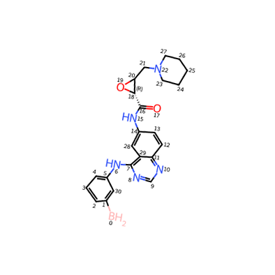 Bc1cccc(Nc2ncnc3ccc(NC(=O)[C@@H]4OC4CN4CCCCC4)cc23)c1